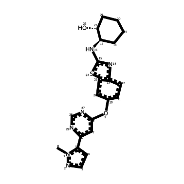 Cn1nccc1-c1cc(Oc2ccc3nc(N[C@@H]4CCCC[C@H]4O)sc3c2)ncn1